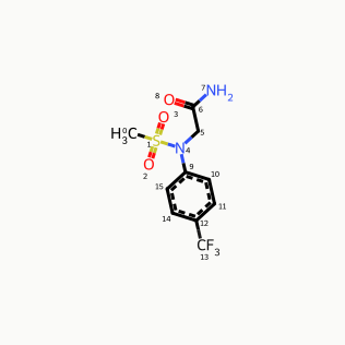 CS(=O)(=O)N(CC(N)=O)c1ccc(C(F)(F)F)cc1